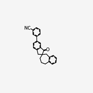 N#Cc1cccc(-c2ccc3c(c2)C(=O)C2(CCCc4ccccc4C2)C3)c1